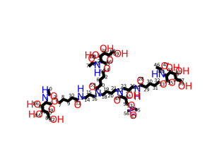 CC(=O)NC1[C@H](OCCCCC(=O)NCCCN(CCCCN(CCCNC(=O)CCCCO[C@@H]2OC(CO)[C@H](O)[C@H](O)C2NC(C)=O)C(=O)C(O)COP(C)(C)=O)C(=O)CCCCO[C@@H]2OC(CO)[C@H](O)[C@H](O)C2NC(C)=O)OC(CO)[C@H](O)[C@@H]1O